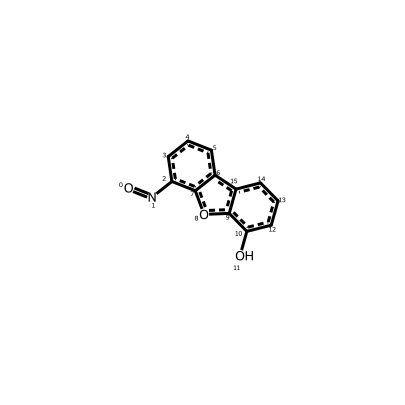 O=Nc1cccc2c1oc1c(O)cccc12